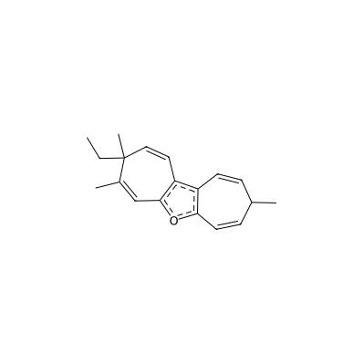 CCC1(C)C=Cc2c(oc3c2C=CC(C)C=C3)C=C1C